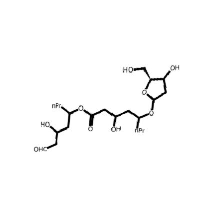 CCCC(CC(O)CC=O)OC(=O)CC(O)CC(CCC)OC1CC(O)[C@H](CO)O1